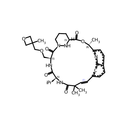 CC(C)[C@@H]1NC(=O)C(C)(C)/C=C/c2ccc3ccc(nc3c2)[C@@H](C)OC(=O)[C@@H]2CCCN(N2)C(=O)[C@H](COCC2(C)COC2)NC1=O